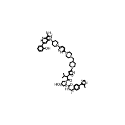 Cc1ncsc1-c1ccc([C@H](C)NC(=O)[C@@H]2C[C@@H](O)CN2C(=O)C(c2cc(N3CCC(CN4CCN(c5ccc(N6CCC(n7nc(N)c8nnc(-c9ccccc9O)cc87)CC6)nn5)CC4)CC3)no2)C(C)C)cc1